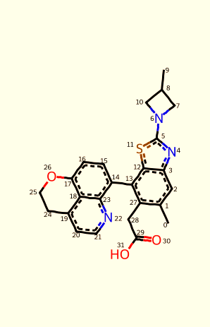 Cc1cc2nc(N3CC(C)C3)sc2c(-c2ccc3c4c(ccnc24)CCO3)c1CC(=O)O